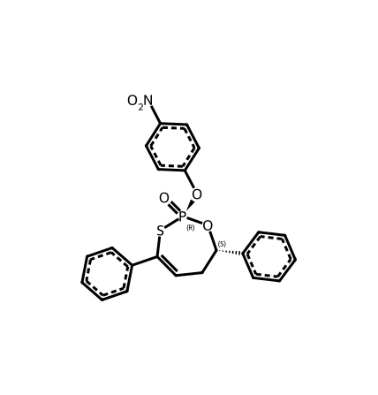 O=[N+]([O-])c1ccc(O[P@@]2(=O)O[C@H](c3ccccc3)CC=C(c3ccccc3)S2)cc1